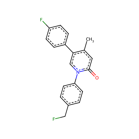 Cc1cc(=O)n(-c2ccc(CF)cc2)cc1-c1ccc(F)cc1